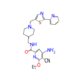 CCOc1nc(C(=O)NCC2CCN(Cc3cnc(-c4ccccn4)s3)CC2)cc(N)c1C#N